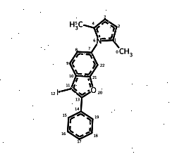 Cc1ccc(C)n1-c1ccc2c(I)c(-c3ccccc3)oc2c1